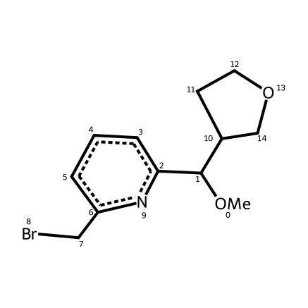 COC(c1cccc(CBr)n1)C1CCOC1